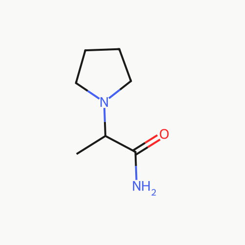 CC(C(N)=O)N1CCCC1